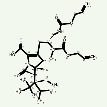 C=CCOC(=O)NC[C@@H](CC1=C(C(=O)O)N2C(=O)[C@H]([C@](O[SiH3])(C(C)C)C(C)(C)C)[C@H]2C1)N(C)C(=O)OCC=C